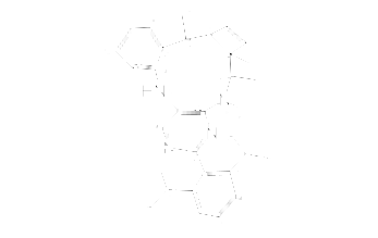 CC(C)c1cccc(C(C)C)c1-c1ncc2c(n1)N(C)C(C)C1(C)C=CC1C(C)c1ccccc1N2